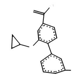 O=C(O)c1ccc(-c2cccc(F)c2)c(OC2CC2)c1